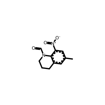 Cc1cc2c(c([N+](=O)[O-])c1)N(C=O)CCC2